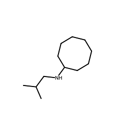 CC(C)CNC1CCCCCCC1